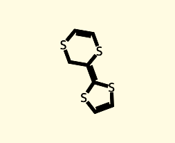 C1=CSC(=C2SC=CS2)CS1